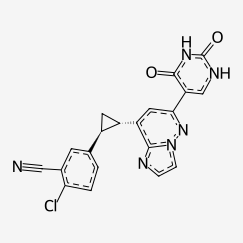 N#Cc1cc([C@H]2C[C@@H]2c2cc(-c3c[nH]c(=O)[nH]c3=O)nn3ccnc23)ccc1Cl